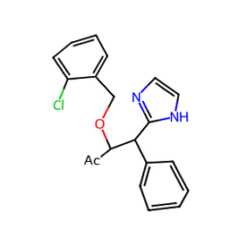 CC(=O)C(OCc1ccccc1Cl)C(c1ccccc1)c1ncc[nH]1